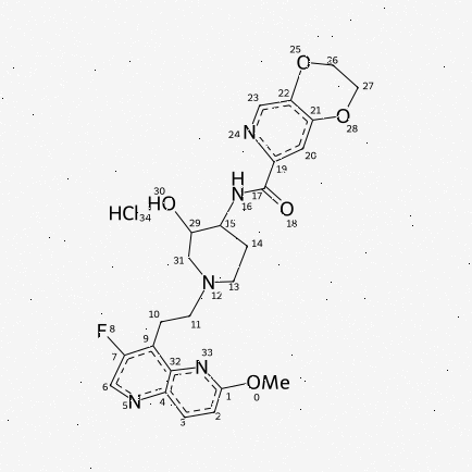 COc1ccc2ncc(F)c(CCN3CCC(NC(=O)c4cc5c(cn4)OCCO5)C(O)C3)c2n1.Cl